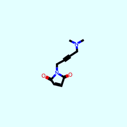 CN(C)CC#CCN1C(=O)C=CC1=O